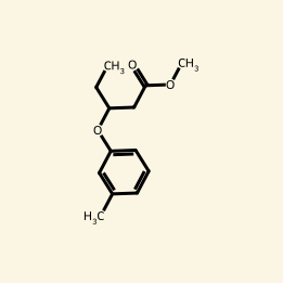 CCC(CC(=O)OC)Oc1cccc(C)c1